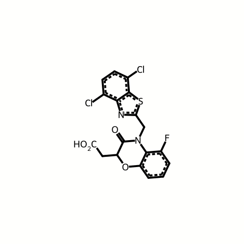 O=C(O)CC1Oc2cccc(F)c2N(Cc2nc3c(Cl)ccc(Cl)c3s2)C1=O